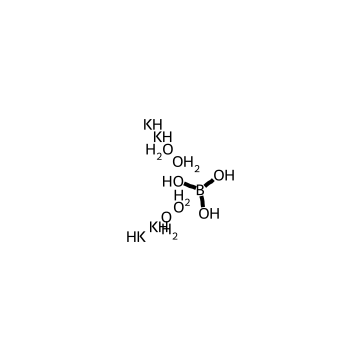 O.O.O.O.OB(O)O.[KH].[KH].[KH].[KH]